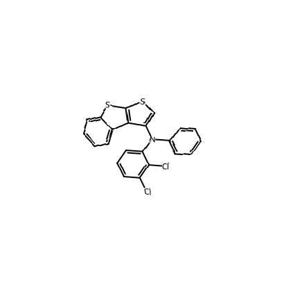 Clc1cccc(N(c2ccccc2)c2csc3sc4ccccc4c23)c1Cl